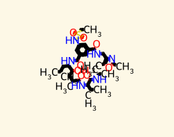 CCS(=O)(=O)Nc1cc(C(=O)NCc2nc(C)oc2C)cc(C(=O)NC(CC(C)C)C(O)CC(C)C(=O)NC(C(=O)NC(C)C)C(C)C)c1